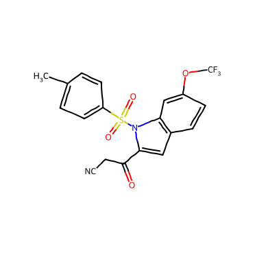 Cc1ccc(S(=O)(=O)n2c(C(=O)CC#N)cc3ccc(OC(F)(F)F)cc32)cc1